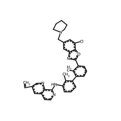 C=Cc1cnc2c(Nc3cccc(-c4cccc(-c5nc6cc(CN7CCCCC7)cc(Cl)c6o5)c4C)c3C)nccc2c1